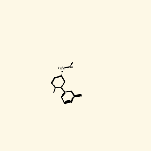 C=C1C=CC=C(C2C[C@@H](NNC)CCC2C)C1